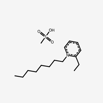 CCCCCCCC[n+]1ccccc1CC.CS(=O)(=O)O